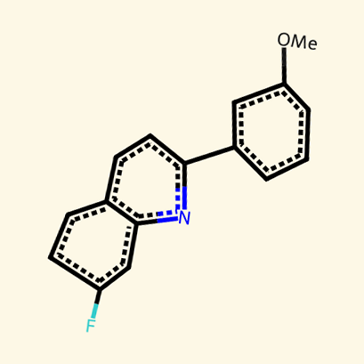 COc1cccc(-c2ccc3ccc(F)cc3n2)c1